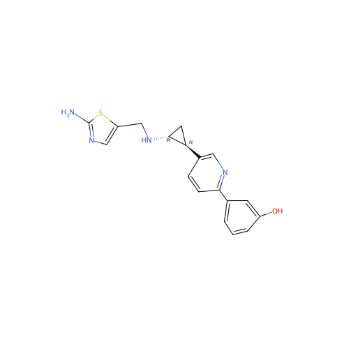 Nc1ncc(CN[C@@H]2C[C@H]2c2ccc(-c3cccc(O)c3)nc2)s1